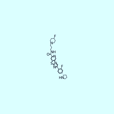 O=C(NCCCN1CCC(F)CC1)c1cc2sc3nc(-c4ccc([C@@H]5CCCN5)cc4F)cn3c2cn1